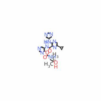 CC(C)(O)CNC(=O)Oc1ncncc1NC(=O)c1nc(C2CC2)cnc1Nc1cncnc1